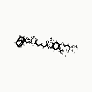 Cc1cc(OCCN(C)C)c(C(C)C)cc1OC(=O)CCCC(=O)OCCC1(SN=O)C2CC3CC(C2)CC1C3